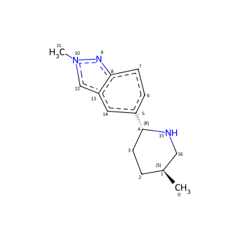 C[C@H]1CC[C@H](c2ccc3nn(C)cc3c2)NC1